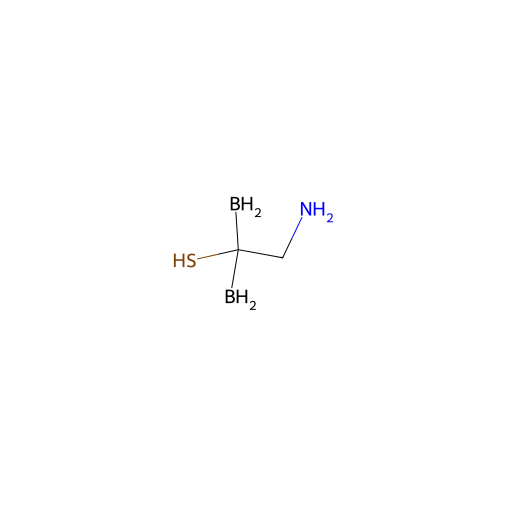 BC(B)(S)CN